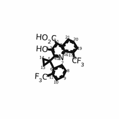 O=C(O)c1c(O)c(C2(c3ccccc3C(F)(F)F)CC2)nc2c(C(F)(F)F)cccc12